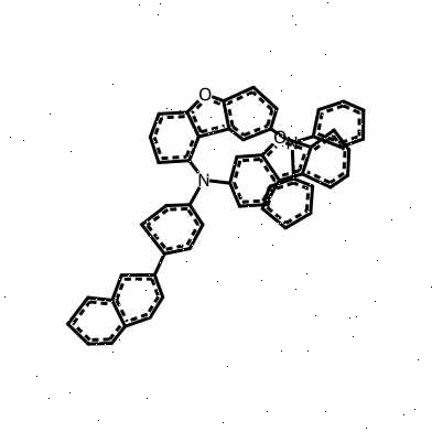 c1ccc(N(c2ccccc2)c2ccc3oc4cccc(N(c5ccc(-c6ccc7ccccc7c6)cc5)c5ccc6c(c5)oc5ccccc56)c4c3c2)cc1